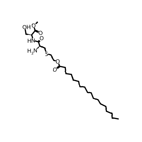 CCCCCCCCCCCCCCCCCC(=O)OCCSC[C@@H](N)C(=O)N[C@@H](CO)C(=O)OC